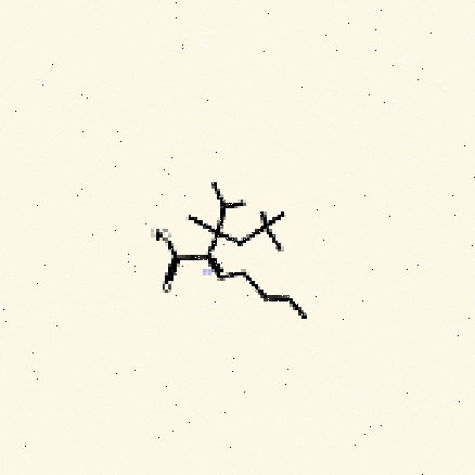 CCCC/C=C(/C(=O)O)C(C)(CC(C)(C)C)C(C)C